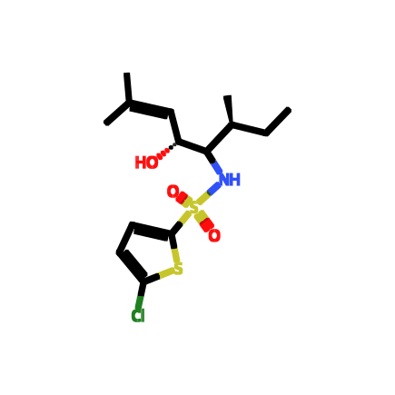 CC[C@H](C)C(NS(=O)(=O)c1ccc(Cl)s1)[C@H](O)C=C(C)C